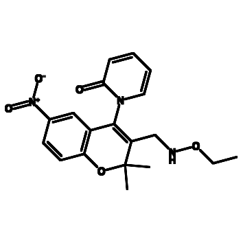 CCONCC1=C(n2ccccc2=O)c2cc([N+](=O)[O-])ccc2OC1(C)C